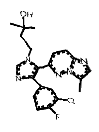 Cc1cnc2ccc(-c3c(-c4ccc(F)c(Cl)c4)ncn3CCC(C)(C)O)nn12